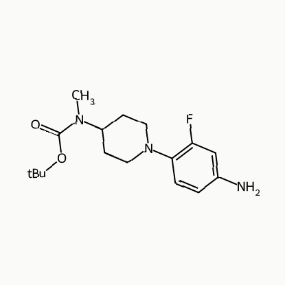 CN(C(=O)OC(C)(C)C)C1CCN(c2ccc(N)cc2F)CC1